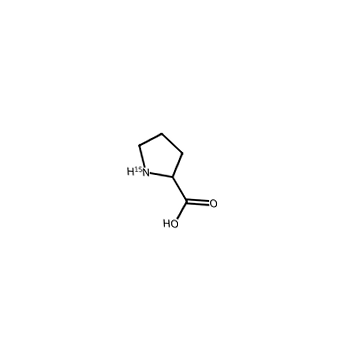 O=C(O)C1CCC[15NH]1